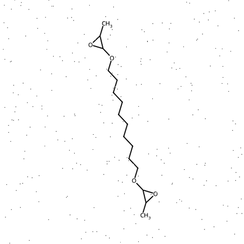 CC1OC1OCCCCCCCCCCOC1OC1C